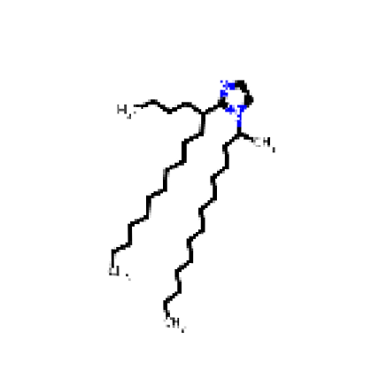 CCCCCCCCCCCCC(C)n1ccnc1C(CCCC)CCCCCCCCCCC